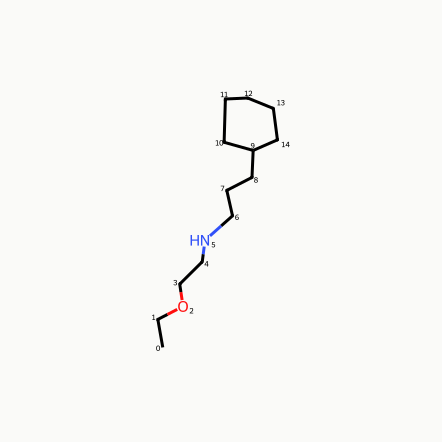 CCOCCNCCCC1CCCCC1